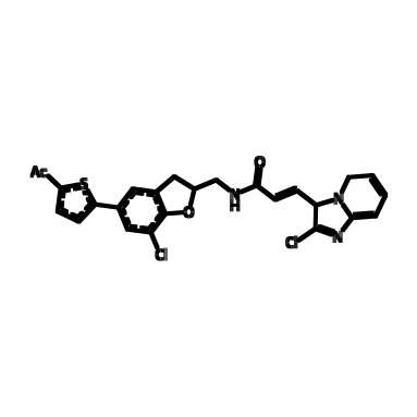 CC(=O)c1ccc(-c2cc(Cl)c3c(c2)CC(CNC(=O)C=CC2C(Cl)=NC4=CC=CCN42)O3)s1